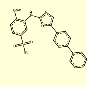 CCS(=O)(=O)c1ccc(OC)c(Nc2ncc(-c3ccc(-c4ccccc4)cc3)o2)c1